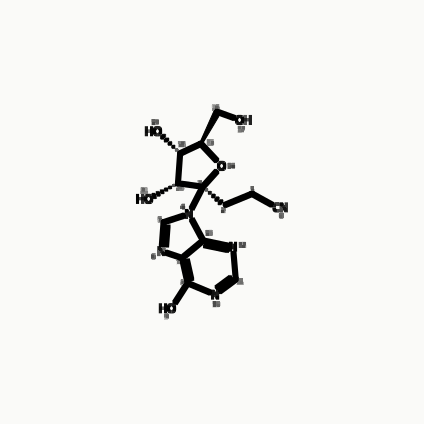 N#CCC[C@@]1(n2cnc3c(O)ncnc32)O[C@H](CO)[C@@H](O)[C@H]1O